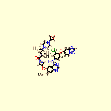 COc1cc2ncnc(Nc3ccc(Oc4ccn5ncnc5c4)c(Cl)c3)c2cc1OC1CN(C(=O)/C(C#N)=C/C(C)(C)N2CCN(C3COC3)CC2)C1